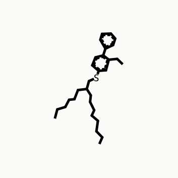 CCCCCCCCC(CCCCCC)CSc1ccc(-c2ccccc2)c(CC)c1